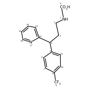 O=C(O)NCCC(c1ccc(C(F)(F)F)cc1)c1ccccn1